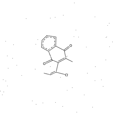 C/C=C(/Cl)C1=C(C)C(=O)c2ccccc2C1=O